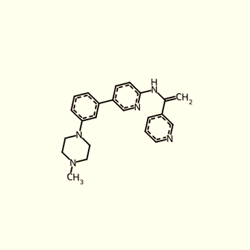 C=C(Nc1ccc(-c2cccc(N3CCN(C)CC3)c2)cn1)c1cccnc1